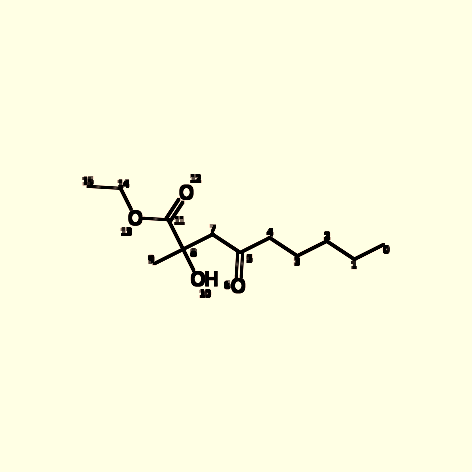 CCCCCC(=O)CC(C)(O)C(=O)OCC